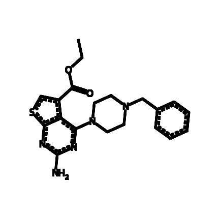 CCOC(=O)c1csc2nc(N)nc(N3CCN(Cc4ccccc4)CC3)c12